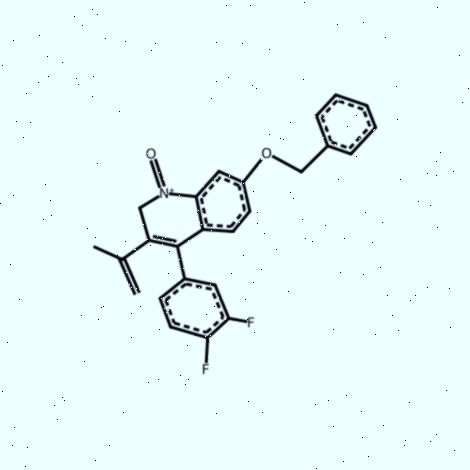 C=C(C)C1=C(c2ccc(F)c(F)c2)c2ccc(OCc3ccccc3)cc2[N+](=O)C1